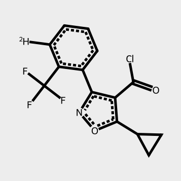 [2H]c1cccc(-c2noc(C3CC3)c2C(=O)Cl)c1C(F)(F)F